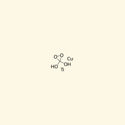 OC1(O)OO1.[Cu].[Ti]